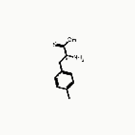 Cc1ccc(C[C@H](N)C(O)=S)cc1